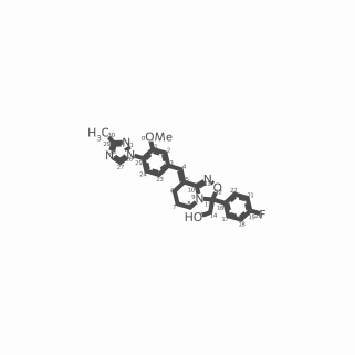 COc1cc(/C=C2\CCCN3C2=NOC3(CO)c2ccc(F)cc2)ccc1-n1cnc(C)n1